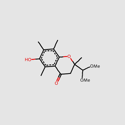 COC(OC)C1(C)CC(=O)c2c(C)c(O)c(C)c(C)c2O1